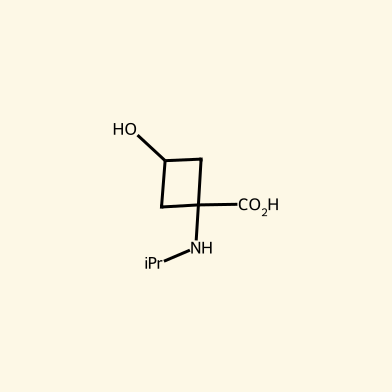 CC(C)NC1(C(=O)O)CC(O)C1